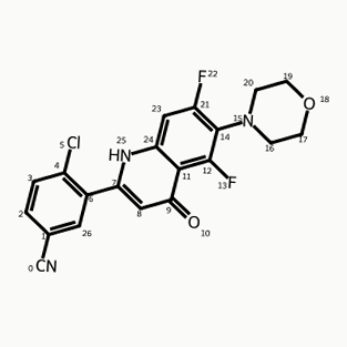 N#Cc1ccc(Cl)c(-c2cc(=O)c3c(F)c(N4CCOCC4)c(F)cc3[nH]2)c1